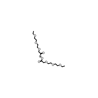 CCOCCOCCOCC(=O)OOC(=O)COCCOCCOCC